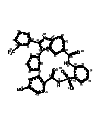 CC(C)(C)c1ccc(C(=O)NS(=O)(=O)c2ccccc2NC(=O)c2ccc3nc(-c4cccc(C(F)(F)F)c4)n(-c4ccccc4)c3c2)cc1